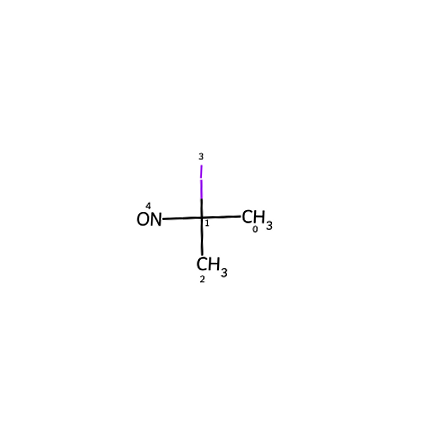 CC(C)(I)N=O